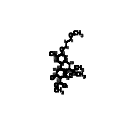 COCCCOc1cc2c(cc1Cl)-c1cc(=O)c(C(=O)OC)cn1C(C(C)(C)C)C2